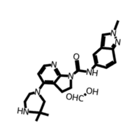 Cn1cc2cc(NC(=O)N3CCc4c(N5CCNC(C)(C)C5)ccnc43)ccc2n1.O=CO